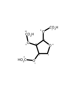 O=C(O)OC1COC(OC(=O)O)C1OC(=O)O